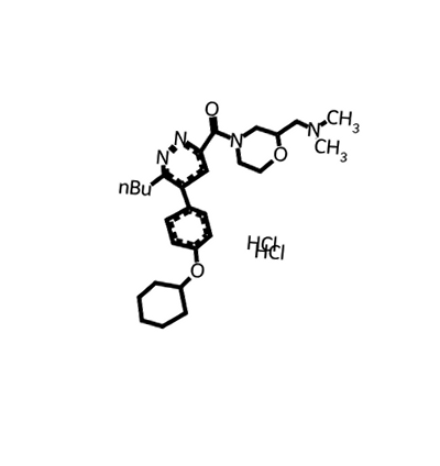 CCCCc1nnc(C(=O)N2CCOC(CN(C)C)C2)cc1-c1ccc(OC2CCCCC2)cc1.Cl.Cl